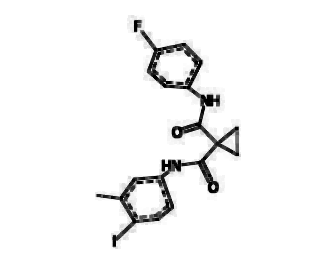 Cc1cc(NC(=O)C2(C(=O)Nc3ccc(F)cc3)CC2)ccc1I